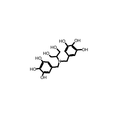 OCC(CO)N(Cc1cc(O)c(O)c(O)c1)Cc1cc(O)c(O)c(O)c1